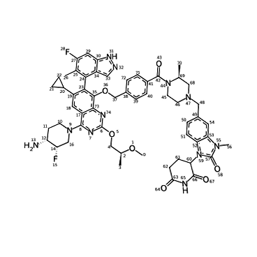 CO[C@@H](C)COc1nc(N2CC[C@@H](N)[C@@H](F)C2)c2cc(C3CC3)c(-c3c(C)c(F)cc4[nH]ncc34)c(OCc3ccc(C(=O)N4CCN(Cc5ccc6c(c5)n(C)c(=O)n6C5CCC(=O)NC5=O)C[C@@H]4C)cc3)c2n1